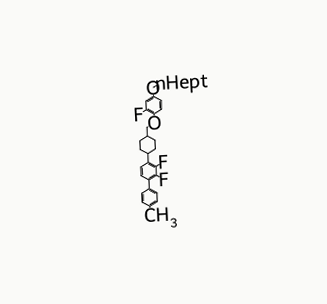 CCCCCCCOc1ccc(OCC2CCC(c3ccc(-c4ccc(C)cc4)c(F)c3F)CC2)c(F)c1